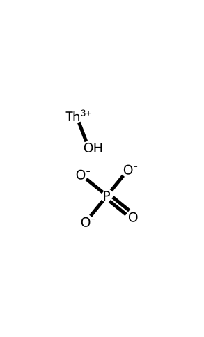 O=P([O-])([O-])[O-].[OH][Th+3]